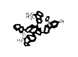 CC1(C)c2ccccc2-c2ccc(-c3c4ccc(-c5ccc6c7ccc(C#N)cc7n(-c7ccccc7)c6c5)cc4c(-c4ccc5c(c4)C(C)(C)c4ccccc4-5)c4ccc(-c5ccc6ccccc6c5)cc34)cc21